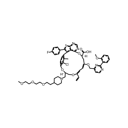 C=C/C1=C\C=C(\OCc2ccnc(-c3ccccc3OC)n2)C[C@H](C(=O)O)Oc2ncnc3sc(-c4ccc(F)cc4)c(c23)-c2ccc(c(Cl)c2C)O[C@H](CN2CCC(CCOCCOCCOC)CC2)CO1